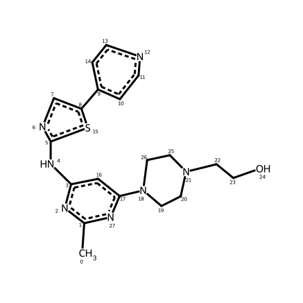 Cc1nc(Nc2ncc(-c3ccncc3)s2)cc(N2CCN(CCO)CC2)n1